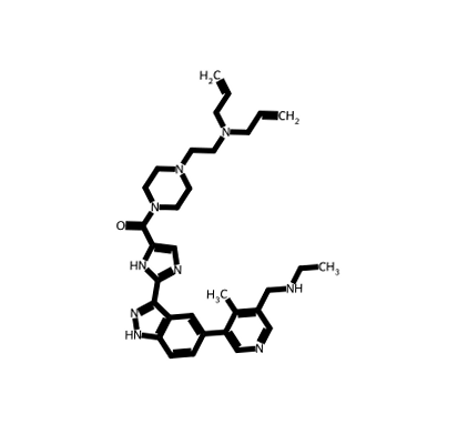 C=CCN(CC=C)CCN1CCN(C(=O)c2cnc(-c3n[nH]c4ccc(-c5cncc(CNCC)c5C)cc34)[nH]2)CC1